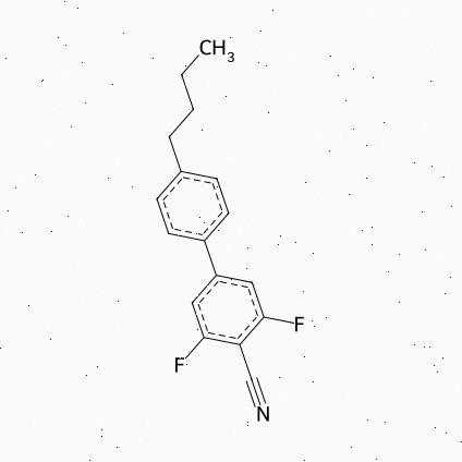 CCCCc1ccc(-c2cc(F)c(C#N)c(F)c2)cc1